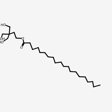 CCCCCCCCCCCCCCCCCCCC(=O)OCCC(CO)(CO)CO